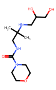 CC(C)(CNC(=O)N1CCOCC1)NCC(O)CO